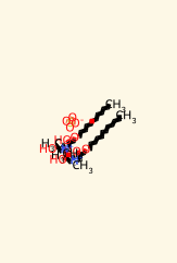 CCCCCCCCCCCCOCC(O)C[N+](C)(CC)CCO.CCCCCCCCCCCCOCC(O)C[N+](C)(CC)CCO.O=S(=O)([O-])[O-]